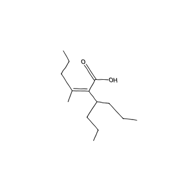 CCCC(C)=C(C(=O)O)C(CCC)CCC